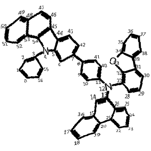 c1ccc(-n2c3cc(-c4ccc(N(c5cc6ccccc6c6ccccc56)c5cccc6c5oc5ccccc56)cc4)ccc3c3ccc4ccccc4c32)cc1